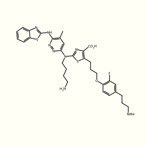 CNCCCc1ccc(OCCCc2sc(N(CCCCN)c3cc(C)c(Nc4nc5ccccc5s4)nn3)nc2C(=O)O)c(F)c1